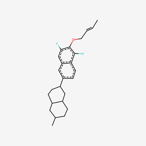 CC=CCOc1c(F)cc2cc(C3CCC4CC(C)CCC4C3)ccc2c1F